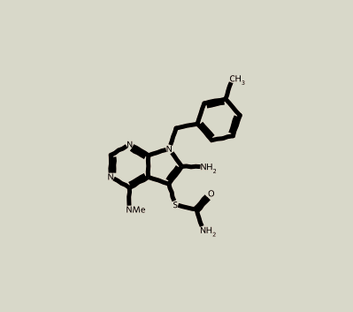 CNc1ncnc2c1c(SC(N)=O)c(N)n2Cc1cccc(C)c1